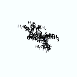 CCCCCN(CC1=C(C(=O)OCc2ccc(OC)cc2)N2C(=O)[C@@H](NC(=O)/C(=N\O[C@@H](CC(=O)OC(C)(C)C)C(=O)OCc3ccc(OC)cc3)c3csc(NC(=O)OC(C)(C)C)n3)[C@H]2SC1)Cc1nn(CC)c2cc(OCc3ccc(OC)cc3)c(OCc3ccc(OC)cc3)cc2c1=O